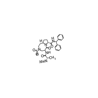 CN[C@@H](C)C(=O)N[C@H]1CN([SH](=O)=O)CC[C@H]2CC[C@@H](C(=O)NC(c3ccccc3)c3ccccc3)N2C1=O